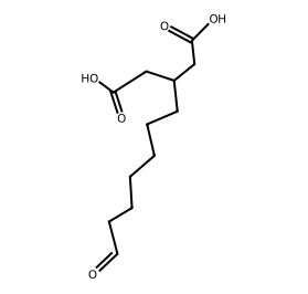 O=CCCCCCCC(CC(=O)O)CC(=O)O